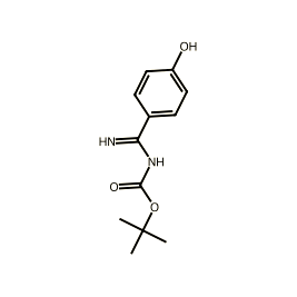 CC(C)(C)OC(=O)NC(=N)c1ccc(O)cc1